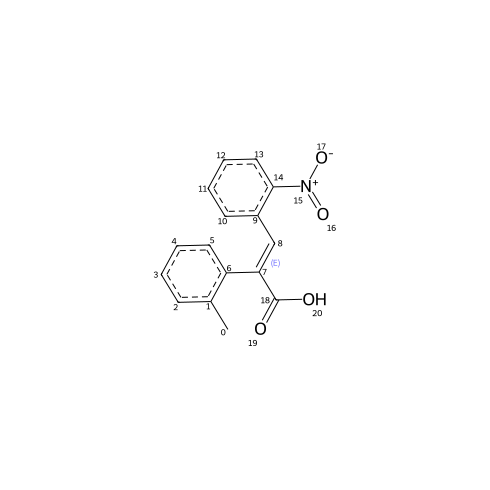 Cc1ccccc1/C(=C\c1ccccc1[N+](=O)[O-])C(=O)O